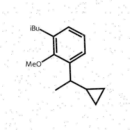 CCC(C)c1cccc(C(C)C2CC2)c1OC